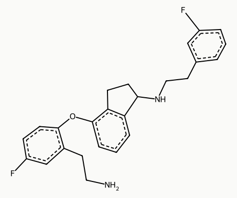 NCCc1cc(F)ccc1Oc1cccc2c1CCC2NCCc1cccc(F)c1